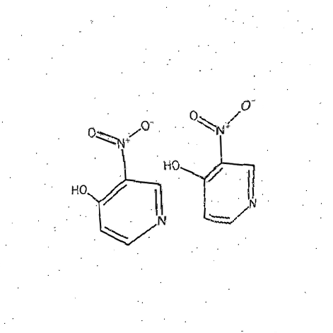 O=[N+]([O-])c1cnccc1O.O=[N+]([O-])c1cnccc1O